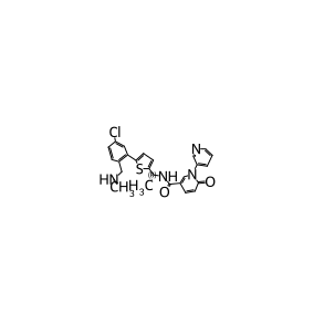 CNCc1ccc(Cl)cc1-c1ccc([C@@H](C)NC(=O)c2ccc(=O)n(-c3cccnc3)c2)s1